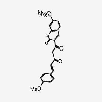 COc1ccc(/C=C/C(=O)CC(=O)c2cc3ccc(OC)cc3sc2=O)cc1